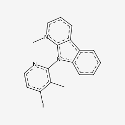 Cc1c(I)ccnc1-n1c2ccccc2c2ccc[n+](C)c21